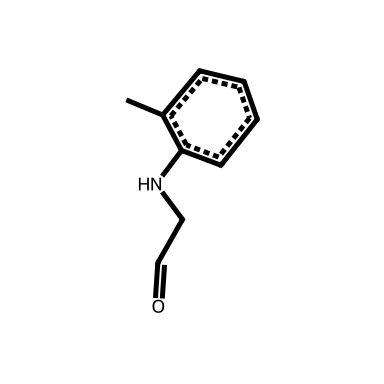 Cc1ccccc1NCC=O